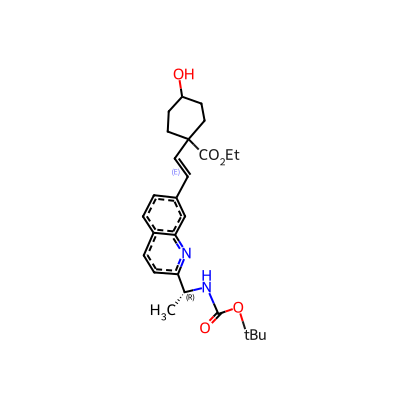 CCOC(=O)C1(/C=C/c2ccc3ccc([C@@H](C)NC(=O)OC(C)(C)C)nc3c2)CCC(O)CC1